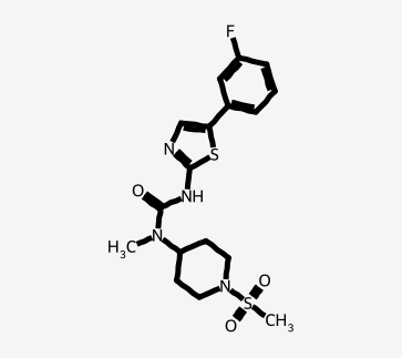 CN(C(=O)Nc1ncc(-c2cccc(F)c2)s1)C1CCN(S(C)(=O)=O)CC1